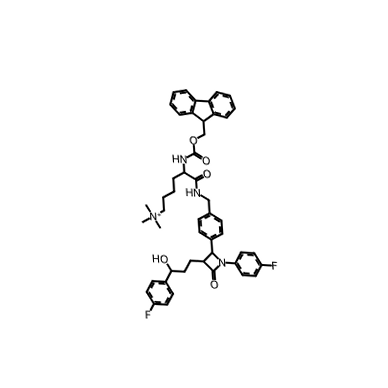 C[N+](C)(C)CCCCC(NC(=O)OCC1c2ccccc2-c2ccccc21)C(=O)NCc1ccc(C2C(CCC(O)c3ccc(F)cc3)C(=O)N2c2ccc(F)cc2)cc1